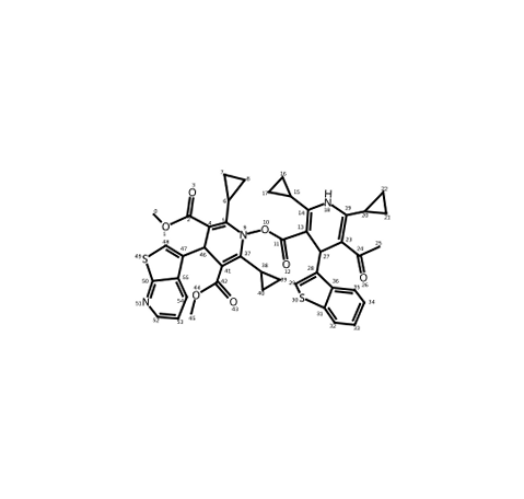 COC(=O)C1=C(C2CC2)N(OC(=O)C2=C(C3CC3)NC(C3CC3)=C(C(C)=O)C2c2csc3ccccc23)C(C2CC2)=C(C(=O)OC)C1c1csc2ncccc12